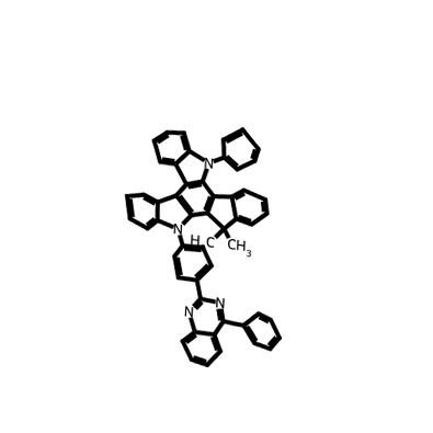 CC1(C)c2ccccc2-c2c1c1c(c3ccccc3n1-c1ccc(-c3nc(-c4ccccc4)c4ccccc4n3)cc1)c1c3ccccc3n(-c3ccccc3)c21